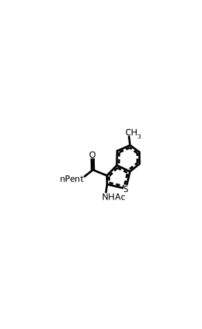 CCCCCC(=O)c1c(NC(C)=O)sc2ccc(C)cc12